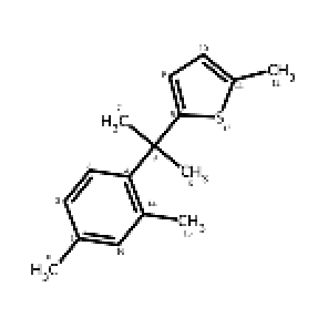 Cc1ccc(C(C)(C)c2ccc(C)s2)c(C)c1